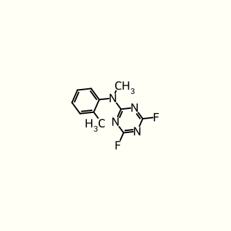 Cc1ccccc1N(C)c1nc(F)nc(F)n1